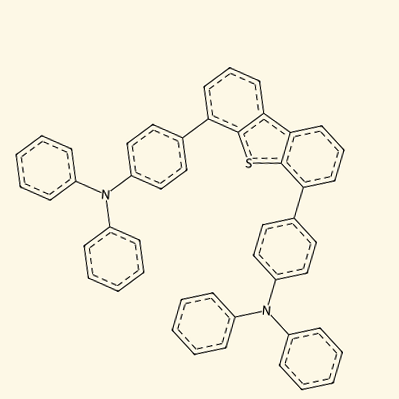 c1ccc(N(c2ccccc2)c2ccc(-c3cccc4c3sc3c(-c5ccc(N(c6ccccc6)c6ccccc6)cc5)cccc34)cc2)cc1